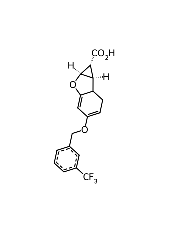 O=C(O)[C@H]1[C@@H]2OC3=CC(OCc4cccc(C(F)(F)F)c4)=CCC3[C@@H]21